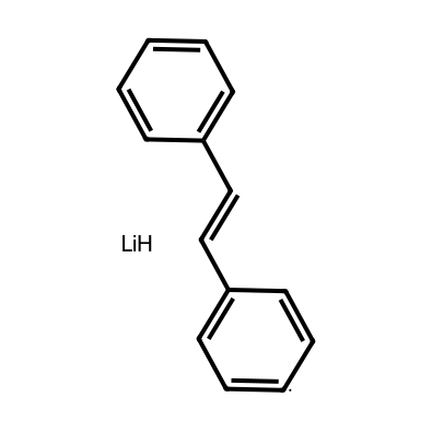 [LiH].[c]1ccc(C=Cc2ccccc2)cc1